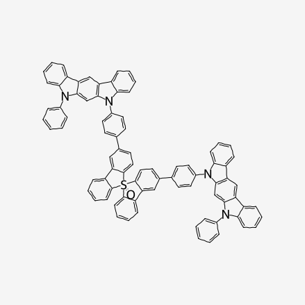 O=S12(c3ccccc3-c3cc(-c4ccc(-n5c6ccccc6c6cc7c8ccccc8n(-c8ccccc8)c7cc65)cc4)ccc31)c1ccccc1-c1cc(-c3ccc(-n4c5ccccc5c5cc6c7ccccc7n(-c7ccccc7)c6cc54)cc3)ccc12